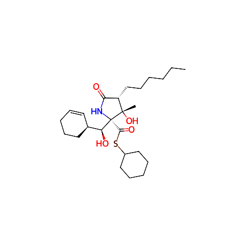 CCCCCC[C@H]1C(=O)N[C@](C(=O)SC2CCCCC2)([C@@H](O)[C@@H]2C=CCCC2)[C@@]1(C)O